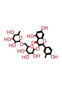 Cc1cc(-c2oc3cc(O)cc(O)c3c(=O)c2O[C@@H]2OC(CO[C@@H]3OC(C)[C@H](O)[C@H](O)C3O)[C@@H](O)[C@@H](O)C2O)ccc1O